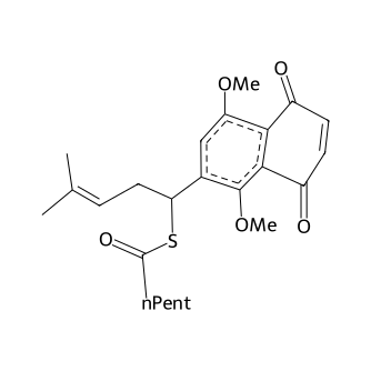 CCCCCC(=O)SC(CC=C(C)C)c1cc(OC)c2c(c1OC)C(=O)C=CC2=O